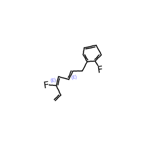 C=C/C(F)=C\C=C\Cc1ccccc1F